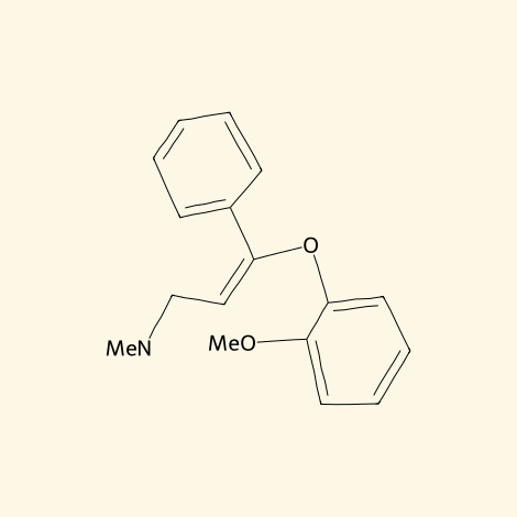 CNCC=C(Oc1ccccc1OC)c1ccccc1